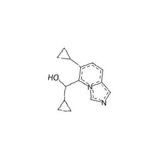 OC(c1c(C2CC2)ccc2cncn12)C1CC1